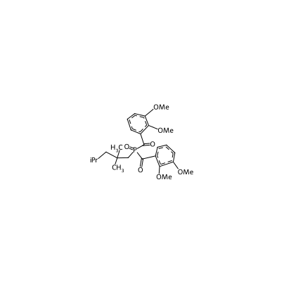 COc1cccc(C(=O)P(=O)(CC(C)(C)CC(C)C)C(=O)c2cccc(OC)c2OC)c1OC